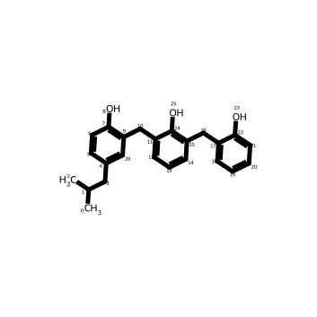 CC(C)Cc1ccc(O)c(Cc2cccc(Cc3ccccc3O)c2O)c1